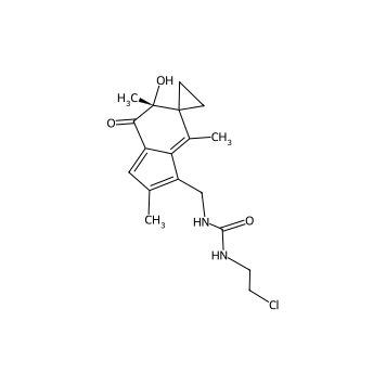 CC1=C(CNC(=O)NCCCl)C2=C(C)C3(CC3)[C@@](C)(O)C(=O)C2=C1